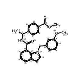 COC(=O)c1ccc([C@H](C)NC(=O)c2cccc3ccn(Cc4cccc(OC)c4)c23)cc1